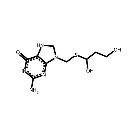 Nc1nc2c(c(=O)[nH]1)NCN2CSC(O)CCO